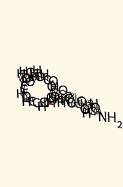 C=C1C[C@@H]2CC[C@]34CC[C@H](O3)[C@@H]3O[C@H]5CC[C@H](CC(=O)O[C@@H]6CC7OC8C[C@H](C[C@@H]9O[C@@]%10(CC[C@@H]9O)C[C@H](C)[C@@H]9O[C@H](CN)CC[C@@H]9O%10)O[C@@H]8C[C@@H]7O[C@H]6C[C@H]6O[C@H](CCC6=C)CC[C@@H]1O2)O[C@@H]5[C@H](O4)C3I